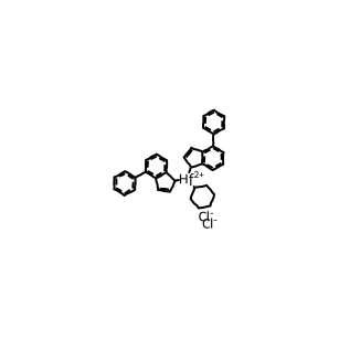 C1=C[CH]([Hf+2]([CH]2CCCCC2)[CH]2C=Cc3c(-c4ccccc4)cccc32)c2cccc(-c3ccccc3)c21.[Cl-].[Cl-]